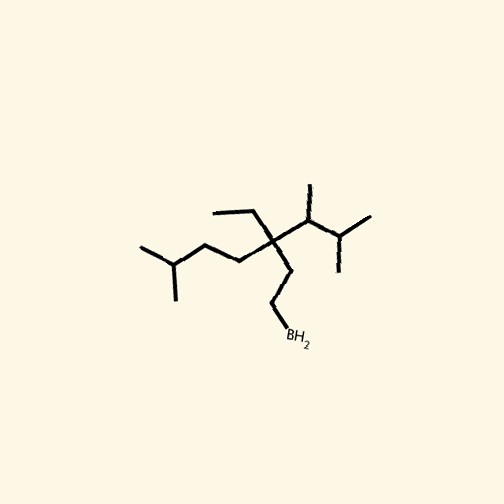 BCCC(CC)(CCC(C)C)C(C)C(C)C